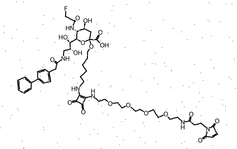 O=C(CCN1C(=O)C=CC1=O)NCCOCCOCCOCCOCCNc1c(NCCCCCCO[C@]2(C(=O)O)C[C@H](O)[C@@H](NC(=O)CF)[C@H]([C@H](O)[C@H](O)CNC(=O)Cc3ccc(-c4ccccc4)cc3)O2)c(=O)c1=O